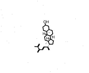 C=C(C)C(=C)C=CC(=C)[C@H]1CC[C@H]2[C@@H]3CCC4CC(O)CC[C@]4(C)[C@H]3CC[C@]12C